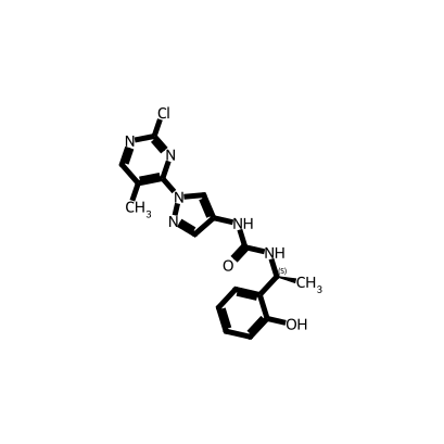 Cc1cnc(Cl)nc1-n1cc(NC(=O)N[C@@H](C)c2ccccc2O)cn1